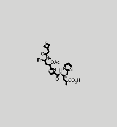 CC(=O)OC(CC(C(C)C)N(C)C(=O)CC1CSC1)c1nc(C(=O)N[C@@H](Cc2ncccn2)C[C@H](C)C(=O)O)cs1